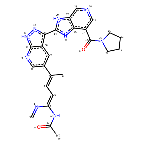 C=N/C(=C\C=C(/C)c1cnc2[nH]nc(-c3nc4c(C(=O)N5CCCC5)cncc4[nH]3)c2c1)NC(=O)CC